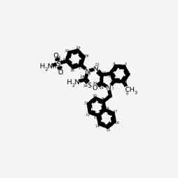 Cc1cccc2c1N(Cc1cccc3ccccc13)C(=O)/C2=N\N(C(N)=S)c1cccc(S(N)(=O)=O)c1